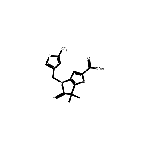 COC(=O)c1cc2c(s1)C(C)(C)C(=O)N2Cc1csc(C(F)(F)F)c1